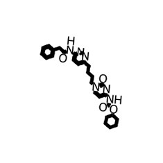 O=C(Cc1ccccc1)Nc1ccc(CCCCn2ccc(NC(=O)OC3CCCCC3)nc2=O)nn1